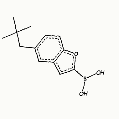 CC(C)(C)Cc1ccc2oc(B(O)O)cc2c1